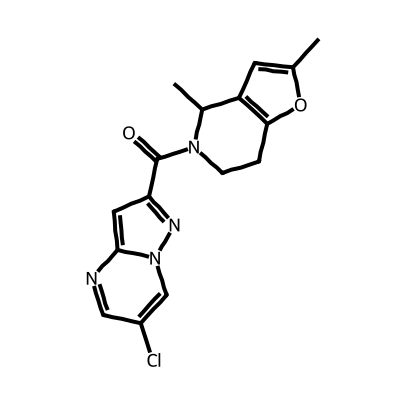 Cc1cc2c(o1)CCN(C(=O)c1cc3ncc(Cl)cn3n1)C2C